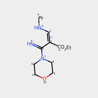 CCOC(=O)/C(=C/NC(C)C)C(=N)N1CCOCC1